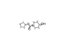 O=C(OC1CCCC1)N1CCC(O)CC1